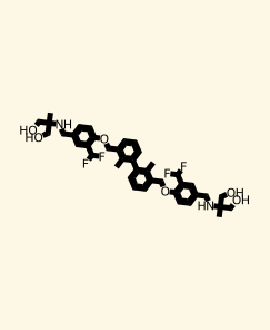 Cc1c(COc2ccc(CNC(C)(CO)CO)cc2C(F)F)cccc1-c1cccc(COc2ccc(CNC(C)(CO)CO)cc2C(F)F)c1C